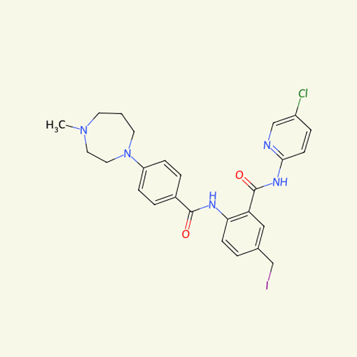 CN1CCCN(c2ccc(C(=O)Nc3ccc(CI)cc3C(=O)Nc3ccc(Cl)cn3)cc2)CC1